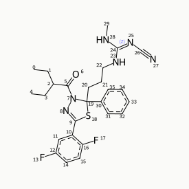 CCC(CC)C(=O)N1N=C(c2cc(F)ccc2F)SC1(CCCN/C(=N\C#N)NC)c1ccccc1